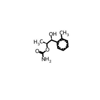 Cc1ccccc1[C@H](O)[C@H](C)OC(N)=O